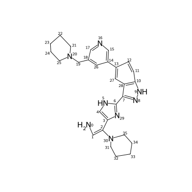 N/C=C(\c1c[nH]c(-c2n[nH]c3ccc(-c4cncc(CN5CCCCC5)c4)cc23)n1)N1CCCCC1